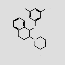 COc1cc(Cl)cc(OC2c3ccccc3CCC2N2CCC[C@H](N)C2)c1